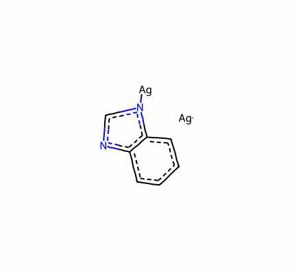 [Ag].[Ag][n]1cnc2ccccc21